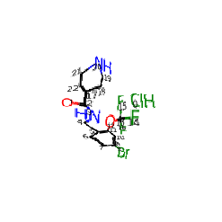 Cl.O=C(NCc1ccc(Br)cc1OC(F)(F)F)C1CCNCC1